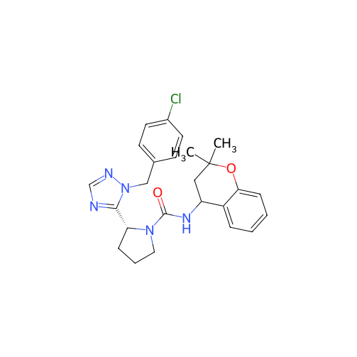 CC1(C)CC(NC(=O)N2CCC[C@@H]2c2ncnn2Cc2ccc(Cl)cc2)c2ccccc2O1